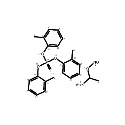 CCCCCCC(C)ON=O.Cc1ccccc1OP(=O)(Oc1ccccc1C)Oc1ccccc1C